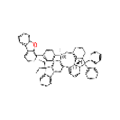 CCC1(CC)c2ccccc2-c2cc3c(cc21)[C@@](C)(c1ccc(-c2cccc4c2oc2ccccc24)cc1)CC1=C2C(CC=C1)C(c1ccccc1)(c1ccccc1)C1C=CC=C3[C@H]21